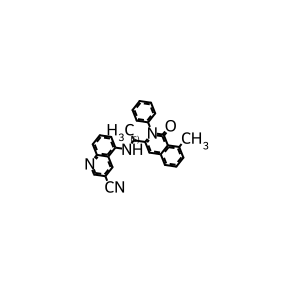 Cc1cccc2cc([C@H](C)Nc3cccc4ncc(C#N)cc34)n(-c3ccccc3)c(=O)c12